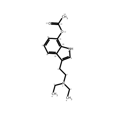 CCN(CC)CCc1c[nH]c2c(OC(C)=O)cccc12